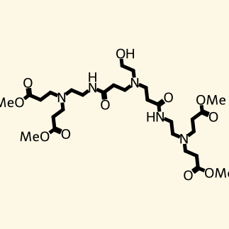 COC(=O)CCN(CCNC(=O)CCN(CCO)CCC(=O)NCCN(CCC(=O)OC)CCC(=O)OC)CCC(=O)OC